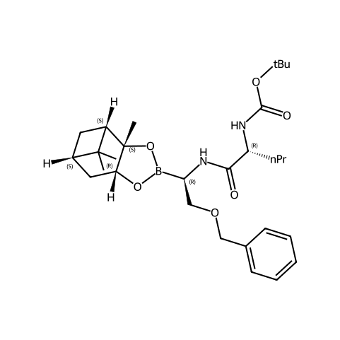 CCC[C@@H](NC(=O)OC(C)(C)C)C(=O)N[C@@H](COCc1ccccc1)B1O[C@@H]2C[C@@H]3C[C@@H](C3(C)C)[C@]2(C)O1